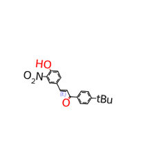 CC(C)(C)c1ccc(C(=O)/C=C/c2ccc(O)c([N+](=O)[O-])c2)cc1